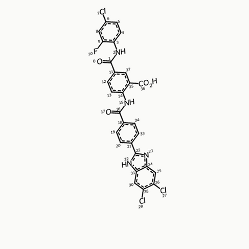 O=C(Nc1ccc(Cl)cc1F)c1ccc(NC(=O)c2ccc(-c3nc4cc(Cl)c(Cl)cc4[nH]3)cc2)c(C(=O)O)c1